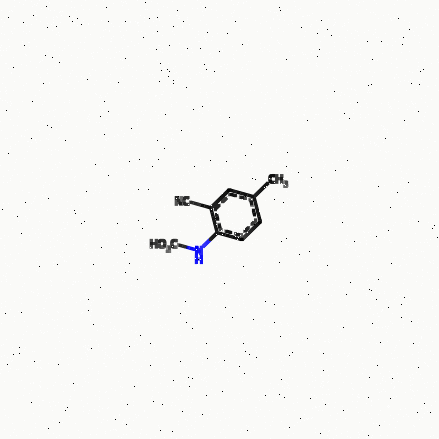 Cc1ccc(NC(=O)O)c(C#N)c1